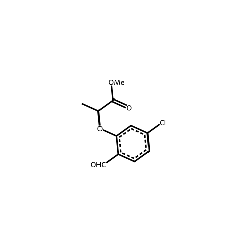 COC(=O)C(C)Oc1cc(Cl)ccc1C=O